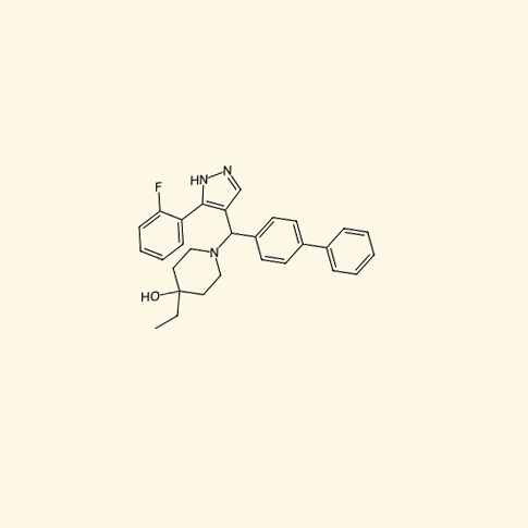 CCC1(O)CCN(C(c2ccc(-c3ccccc3)cc2)c2cn[nH]c2-c2ccccc2F)CC1